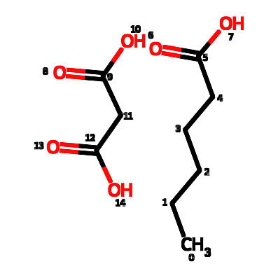 CCCCCC(=O)O.O=C(O)CC(=O)O